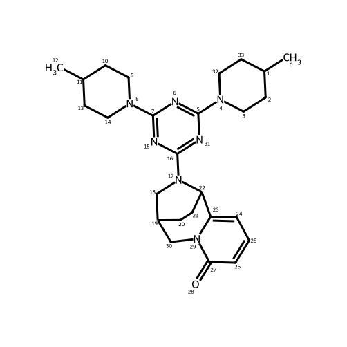 CC1CCN(c2nc(N3CCC(C)CC3)nc(N3CC4CCC3c3cccc(=O)n3C4)n2)CC1